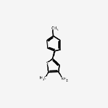 Cc1ccc(-c2cc(N)c(C)s2)cc1